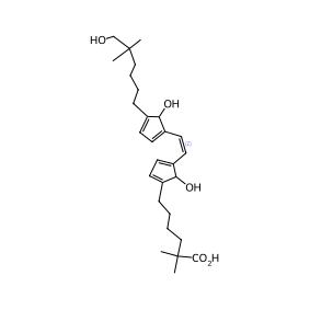 CC(C)(CO)CCCCC1=CC=C(/C=C\C2=CC=C(CCCCC(C)(C)C(=O)O)C2O)C1O